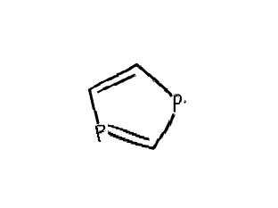 C1=CP=C[P]1